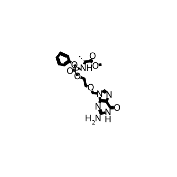 COC(=O)[C@@H](C)NP(=O)(OCCOCn1cnc2c(=O)[nH]c(N)nc21)Oc1ccccc1